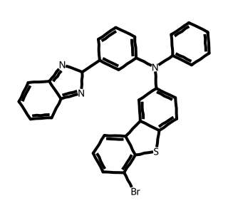 Brc1cccc2c1sc1ccc(N(c3ccccc3)c3cccc(C4N=c5ccccc5=N4)c3)cc12